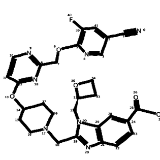 N#Cc1cnc(OCc2nccc(OC3CCN(Cc4nc5ccc(C(=O)O)cc5n4C[C@@H]4CCO4)CC3)n2)c(F)c1